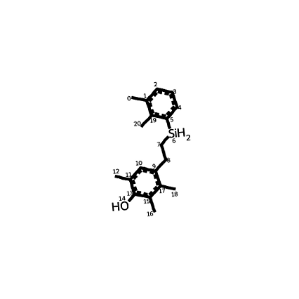 Cc1cccc([SiH2]CCc2cc(C)c(O)c(C)c2C)c1C